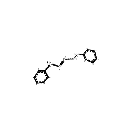 c1ccc(NP=NPNc2ccccc2)cc1